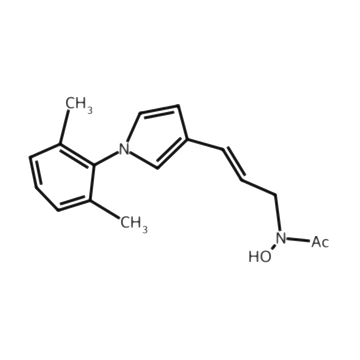 CC(=O)N(O)CC=Cc1ccn(-c2c(C)cccc2C)c1